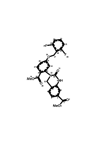 COC(=O)c1ccc2c(c1)NC(=O)N(c1cc(OCc3c(F)cccc3F)ccc1C(=O)OC)C2